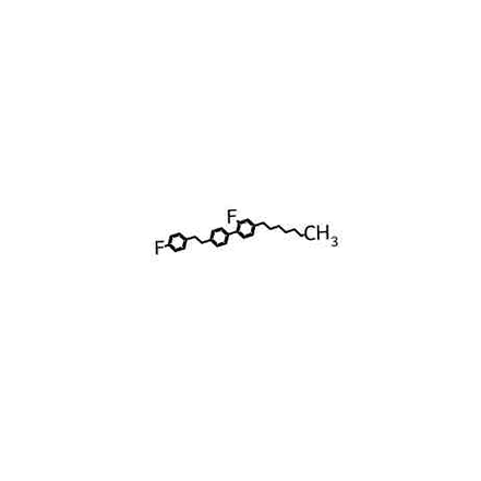 CCCCCCCc1ccc(-c2ccc(CCc3ccc(F)cc3)cc2)c(F)c1